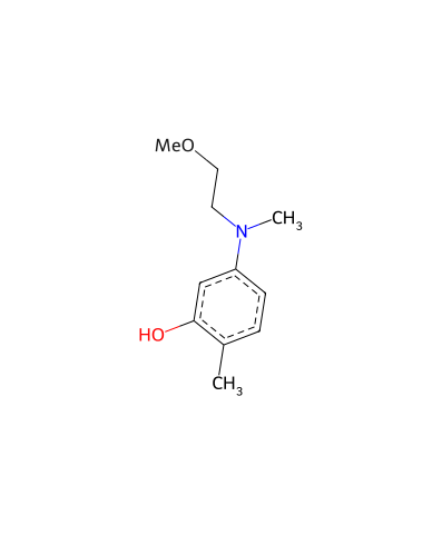 COCCN(C)c1ccc(C)c(O)c1